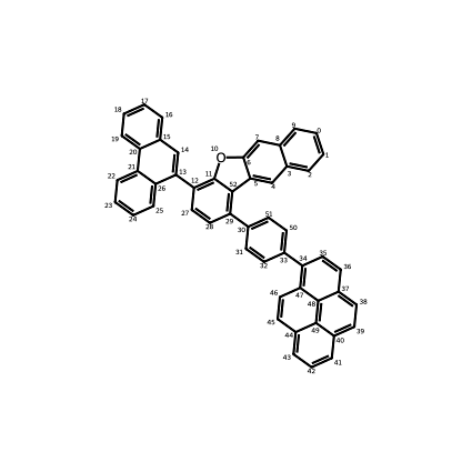 c1ccc2cc3c(cc2c1)oc1c(-c2cc4ccccc4c4ccccc24)ccc(-c2ccc(-c4ccc5ccc6cccc7ccc4c5c67)cc2)c13